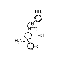 Cl.NC[C@]1(c2cccc(Cl)c2)CC[C@H](N2CCN(c3cccc(N)c3)C2=O)CC1